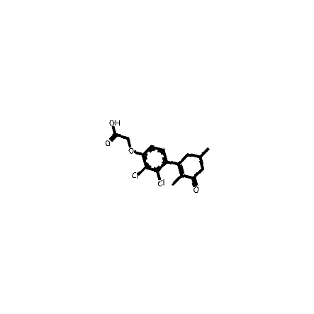 CC1=C(c2ccc(OCC(=O)O)c(Cl)c2Cl)CC(C)CC1=O